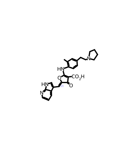 Cc1cc(CCN2CCCC2)ccc1NC1=C(C(=O)O)C(=O)/C(=C/c2c[nH]c3ncccc23)O1